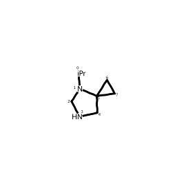 CC(C)N1CNCC12CC2